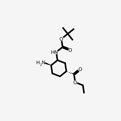 CCOC(=O)[C@@H]1CC[C@@H](N)C(NC(=O)OC(C)(C)C)C1